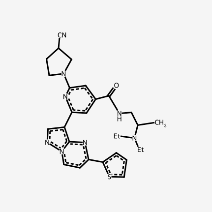 CCN(CC)C(C)CNC(=O)c1cc(-c2cnn3ccc(-c4cccs4)nc23)nc(N2CCC(C#N)C2)c1